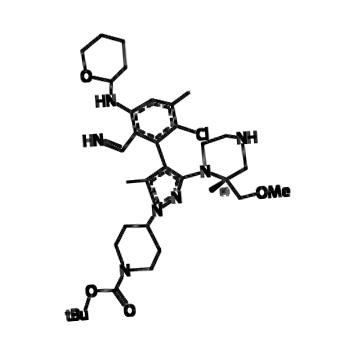 COC[C@@]1(C)CNCCN1c1nn(C2CCN(C(=O)OC(C)(C)C)CC2)c(C)c1-c1c(Cl)c(C)cc(NC2CCCCO2)c1C=N